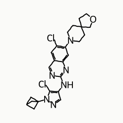 Clc1cc2cnc(Nc3cnn(C45CC(C4)C5)c3Cl)nc2cc1N1CCC2(CCOC2)CC1